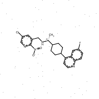 C[C@@H](NCc1cc(Cl)cnc1[N+](=O)[O-])C1CCC(c2ccnc3ccc(F)cc23)CC1